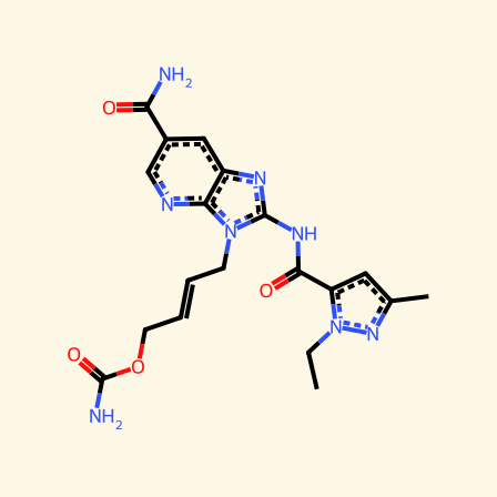 CCn1nc(C)cc1C(=O)Nc1nc2cc(C(N)=O)cnc2n1C/C=C/COC(N)=O